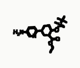 CCOC(=O)C1CC(c2ccc(N)cn2)CCC1O[Si](C)(C)C(C)(C)C